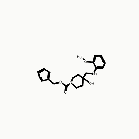 COc1ccccc1NCC1(O)CCN(C(=O)OCc2ccccc2)CC1